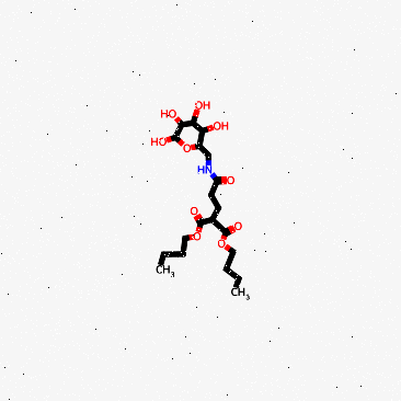 CCCCOC(=O)C(CCC(=O)NCC1OC(O)C(O)C(O)C1O)C(=O)OCCCC